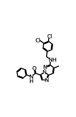 Cc1cc2ncc(C(=O)Nc3ccccc3)n2nc1NCc1ccc(Cl)c(Cl)c1